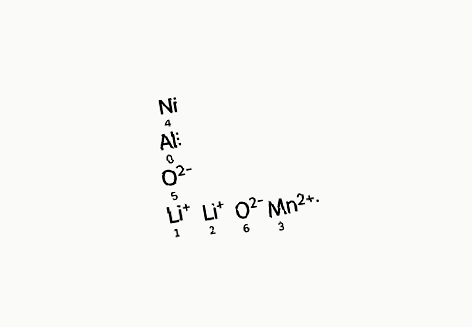 [Al].[Li+].[Li+].[Mn+2].[Ni].[O-2].[O-2]